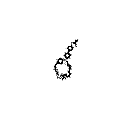 C=CC(=O)Oc1ccc(-c2ccc(N3c4ccc(cc4)-c4ccc(cc4)OC(O)(C(=C)C)c4cccc(c4)-c4ccc3cc4)cc2)cc1